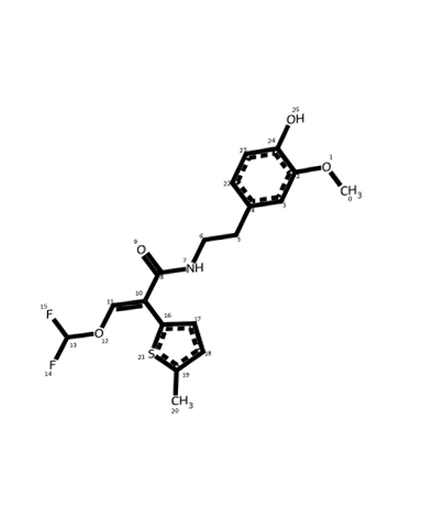 COc1cc(CCNC(=O)C(=COC(F)F)c2ccc(C)s2)ccc1O